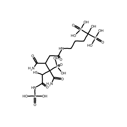 NC(=O)C(CC(=O)NCCCC(O)(P(=O)(O)O)P(=O)(O)O)C(C(N)=O)(C(S)C(=O)NP(=O)(O)O)P(=O)(O)O